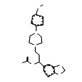 COc1ccc(N2CCN(CCC(OC(N)=O)c3ccc4c(c3)OCO4)CC2)cc1